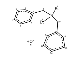 CC[N+](CC)(Cc1ccccc1)Cc1ccccc1.[OH-]